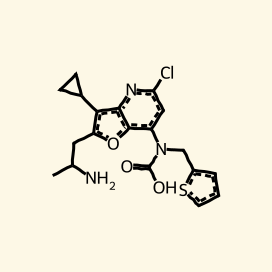 CC(N)Cc1oc2c(N(Cc3cccs3)C(=O)O)cc(Cl)nc2c1C1CC1